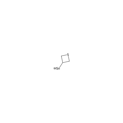 [SnH][CH]1CSC1